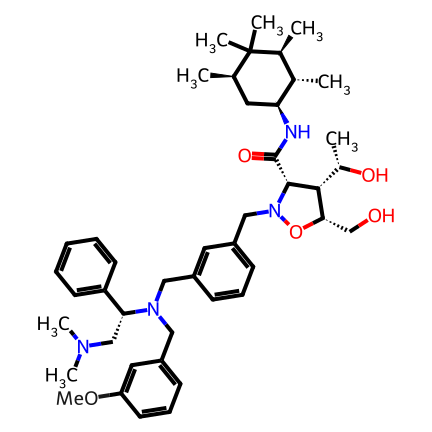 COc1cccc(CN(Cc2cccc(CN3O[C@@H](CO)[C@@H]([C@H](C)O)[C@H]3C(=O)N[C@H]3C[C@@H](C)C(C)(C)[C@@H](C)[C@@H]3C)c2)[C@H](CN(C)C)c2ccccc2)c1